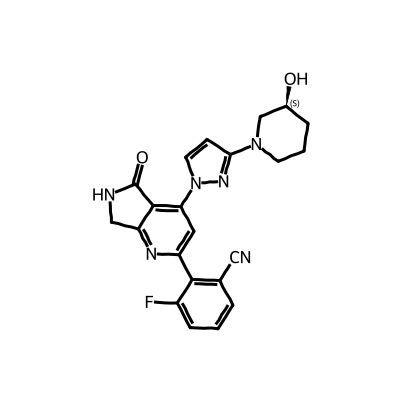 N#Cc1cccc(F)c1-c1cc(-n2ccc(N3CCC[C@H](O)C3)n2)c2c(n1)CNC2=O